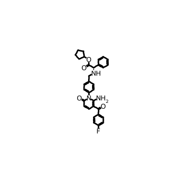 Nc1c(C(=O)c2ccc(F)cc2)ccc(=O)n1-c1ccc(CN[C@H](C(=O)OC2CCCC2)c2ccccc2)cc1